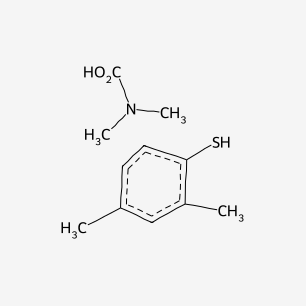 CN(C)C(=O)O.Cc1ccc(S)c(C)c1